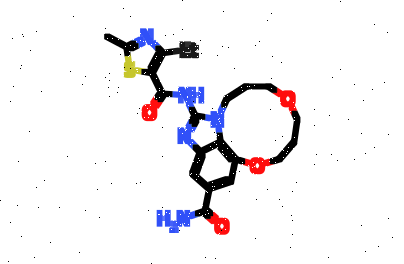 CCc1nc(C)sc1C(=O)Nc1nc2cc(C(N)=O)cc3c2n1CCCOCCCO3